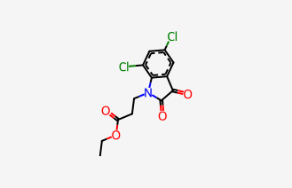 CCOC(=O)CCN1C(=O)C(=O)c2cc(Cl)cc(Cl)c21